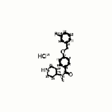 CN(C(=O)c1ccc(OCc2cccc(F)c2)cc1)C1CCNCC1.Cl